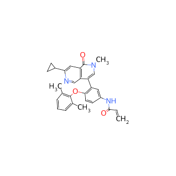 C=CC(=O)Nc1ccc(Oc2c(C)cccc2C)c(-c2cn(C)c(=O)c3cc(C4CC4)ncc23)c1